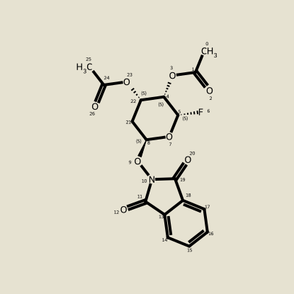 CC(=O)O[C@@H]1[C@H](F)O[C@@H](ON2C(=O)c3ccccc3C2=O)C[C@@H]1OC(C)=O